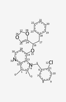 Cc1c(C)n(Cc2ccccc2Cl)c2c(OC(Cc3ccccc3)C3=COCO3)ccnc12